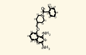 Nc1nc(N)c2c(OCC3CCN(C(=O)c4ccccc4I)CC3)cccc2n1